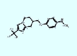 CNc1ccc(OCC2CCn3cc(C(F)(F)F)nc3C2)nc1